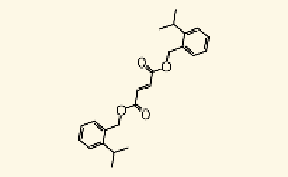 CC(C)c1ccccc1COC(=O)/C=C/C(=O)OCc1ccccc1C(C)C